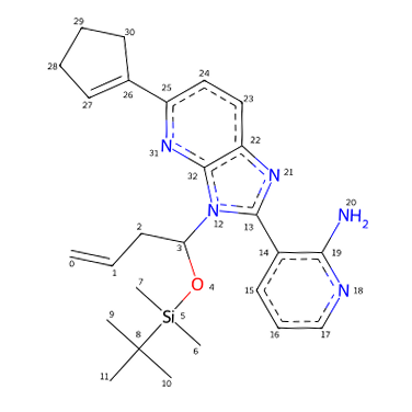 C=CCC(O[Si](C)(C)C(C)(C)C)n1c(-c2cccnc2N)nc2ccc(C3=CCCC3)nc21